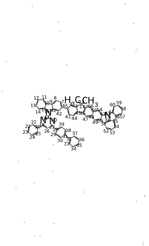 CC1(C)c2cc(-c3ccc4c5ccccc5n(-c5nc(-c6ccccc6)cc(-c6ccc(-c7ccccc7)cc6)n5)c4c3)ccc2-c2cc3cc4c5cccc6c7ccccc7n(c4cc3cc21)c65